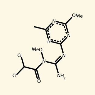 COc1nc(C)nc(N=C(N)N(OC)C(=O)C(Cl)Cl)n1